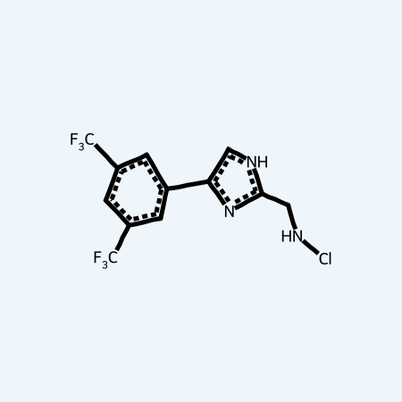 FC(F)(F)c1cc(-c2c[nH]c(CNCl)n2)cc(C(F)(F)F)c1